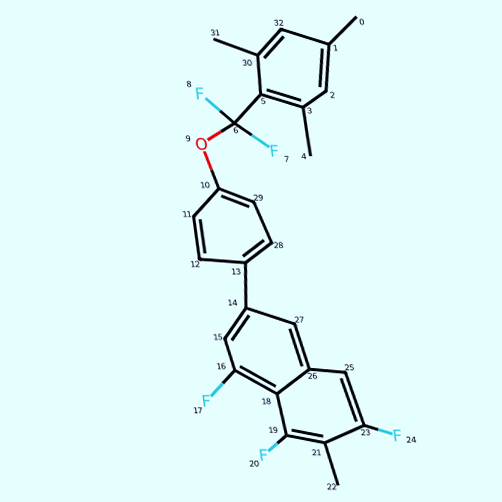 Cc1cc(C)c(C(F)(F)Oc2ccc(-c3cc(F)c4c(F)c(C)c(F)cc4c3)cc2)c(C)c1